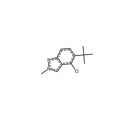 Cn1cc2c(Cl)c(C(C)(C)C)ccc2n1